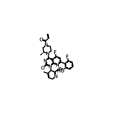 C=CC(=O)N1CCN(c2nc(=O)n(C3C(C)=CCN=C3C(C)C)c3nc(-c4c(O)cccc4F)cc(F)c23)[C@@H](C)C1